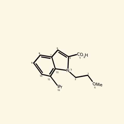 COCCn1c(C(=O)O)cc2cccc(C(C)C)c21